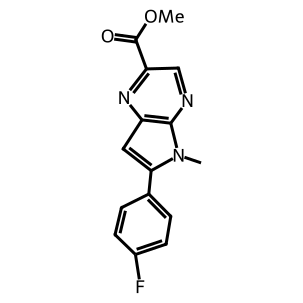 COC(=O)c1cnc2c(cc(-c3ccc(F)cc3)n2C)n1